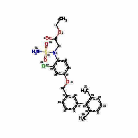 CCOC(=O)CN(c1ccc(OCc2cccc(-c3c(C)cccc3C)c2)cc1Cl)S(N)(=O)=O